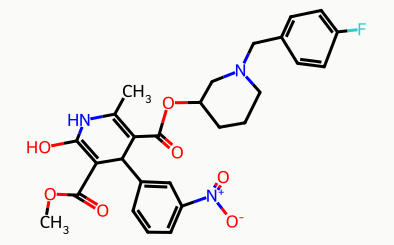 COC(=O)C1=C(O)NC(C)=C(C(=O)OC2CCCN(Cc3ccc(F)cc3)C2)C1c1cccc([N+](=O)[O-])c1